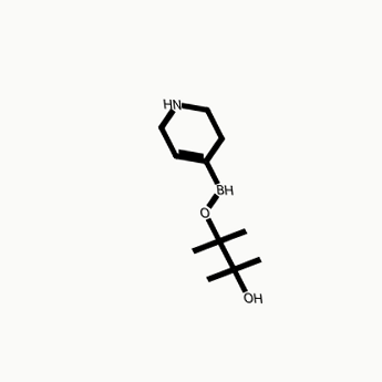 CC(C)(O)C(C)(C)OBC1=CCNCC1